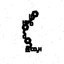 CCOC(Cc1ccc(OCCc2ccc(NC(=O)NCc3ccccc3)cc2)cc1)C(=O)O